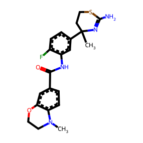 CN1CCOc2cc(C(=O)Nc3cc(C4(C)CCSC(N)=N4)ccc3F)ccc21